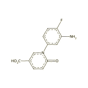 Nc1cc(-n2cc(C(=O)O)ccc2=O)ccc1F